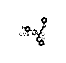 COc1cc(F)ccc1N1CCN(C(C(=O)CCCOc2ccccc2)C2CCc3ccccc3N2)CC1